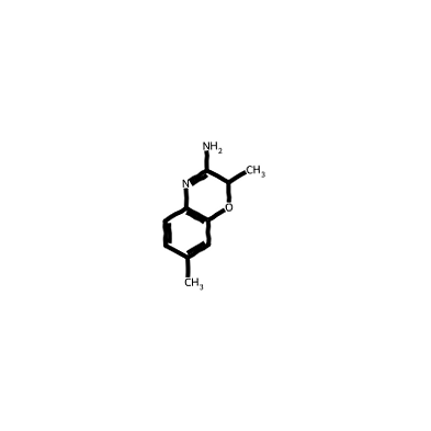 Cc1ccc2c(c1)OC(C)C(N)=N2